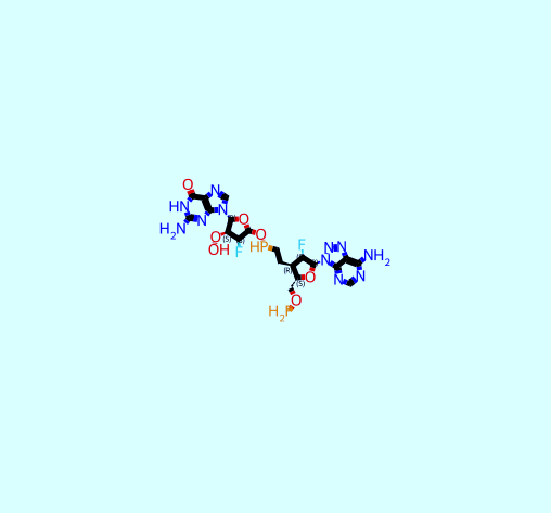 Nc1nc2c(ncn2[C@@H]2OC(OPCC[C@H]3[C@H](F)[C@H](n4nnc5c(N)ncnc54)O[C@@H]3COP)[C@@H](F)[C@H]2OO)c(=O)[nH]1